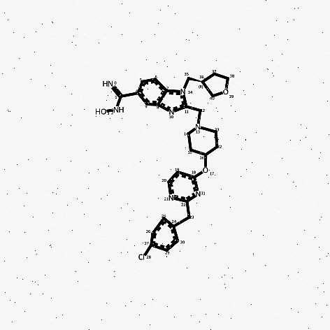 N=C(NO)c1ccc2c(c1)nc(CN1CCC(Oc3ccnc(Cc4ccc(Cl)cc4)n3)CC1)n2C[C@H]1CCOC1